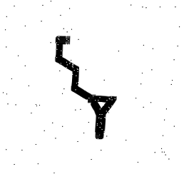 O=C1CN1CCCO